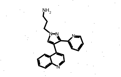 NCCCn1cc(-c2ccnc3ccccc23)c(-c2ccccn2)n1